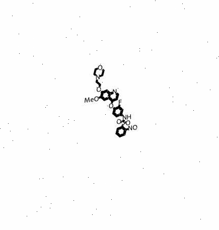 COc1cc2c(Oc3ccc(NS(=O)(=O)c4ccccc4N=O)cc3F)ccnc2cc1OCCN1CCOCC1